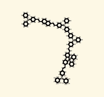 C(=C\c1ccc2c(c1)C1(c3ccccc3-c3ccccc31)c1cc(/C=C/c3ccc(N(c4ccccc4)c4ccc(-c5ccc(N(c6ccccc6)c6ccc(/C=C/c7ccc8cc(/C=C/c9ccc(N(c%10ccccc%10)c%10ccccc%10)cc9)ccc8c7)cc6)cc5)cc4)cc3)ccc1-2)/c1ccc(N(c2ccccc2)c2ccccc2)cc1